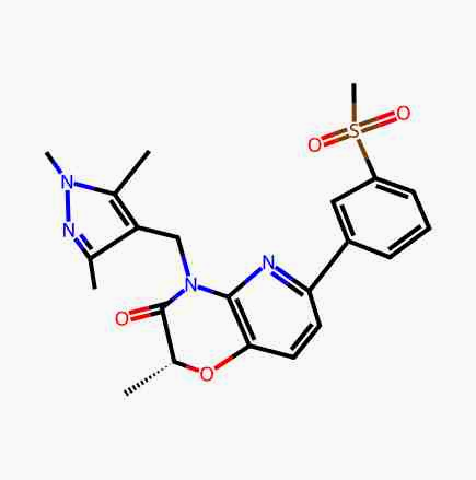 Cc1nn(C)c(C)c1CN1C(=O)[C@@H](C)Oc2ccc(-c3cccc(S(C)(=O)=O)c3)nc21